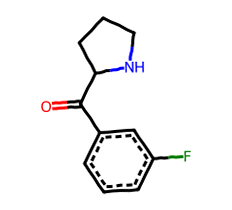 O=C(c1cccc(F)c1)C1CCCN1